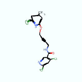 O=C(NCC#CCOc1cc(C(F)(F)F)cc(Cl)n1)c1cnc(Cl)cc1Cl